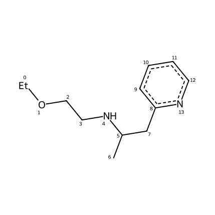 CCOCCNC(C)Cc1ccccn1